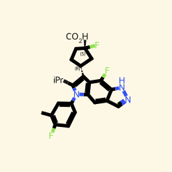 Cc1cc(-n2c(C(C)C)c([C@@H]3CC[C@@](F)(C(=O)O)C3)c3c(F)c4[nH]ncc4cc32)ccc1F